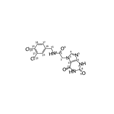 O=C(Cn1cnc2[nH]c(=O)[nH]c(=O)c21)NCc1ccc(Cl)c(Cl)c1